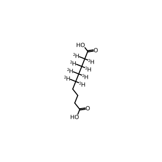 [2H]C([2H])(CCCC(=O)O)C([2H])([2H])C([2H])([2H])C([2H])([2H])C(=O)O